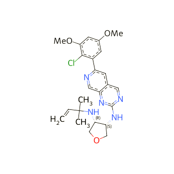 C=CC(C)(C)N[C@H]1COC[C@H]1Nc1ncc2cc(-c3cc(OC)cc(OC)c3Cl)ncc2n1